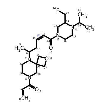 C=CC(=O)N1CCN(C(C)C/C=C\C(=O)N2CCN(C(C)C)C(CF)C2)C2(COC2)C1